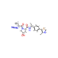 Cc1ncsc1-c1ccc([C@H](C)NC(=O)C2CC(O)CN2C(=O)[C@@H](N=[N+]=[N-])C(C)(C)C)cc1